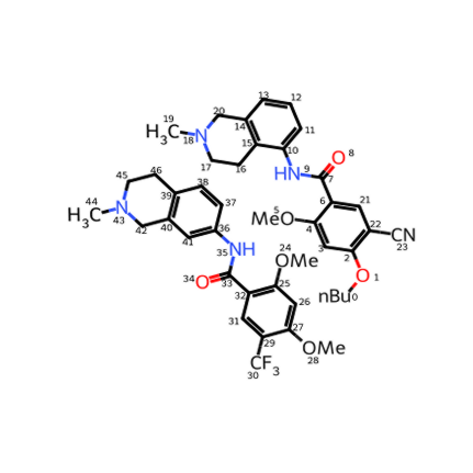 CCCCOc1cc(OC)c(C(=O)Nc2cccc3c2CCN(C)C3)cc1C#N.COc1cc(OC)c(C(F)(F)F)cc1C(=O)Nc1ccc2c(c1)CN(C)CC2